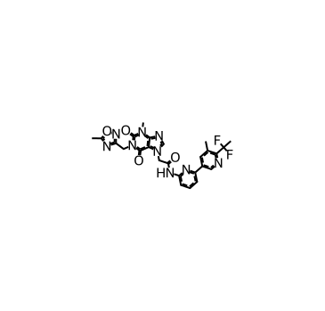 Cc1nc(Cn2c(=O)c3c(ncn3CC(=O)Nc3cccc(-c4cnc(C(C)(F)F)c(C)c4)n3)n(C)c2=O)no1